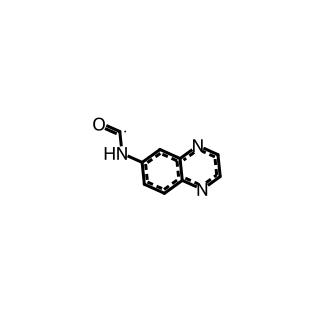 O=[C]Nc1ccc2nccnc2c1